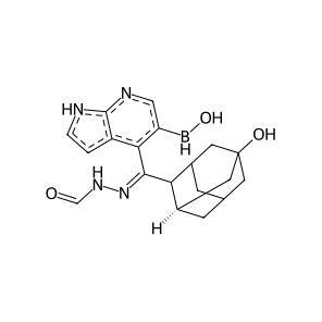 O=CN/N=C(\c1c(BO)cnc2[nH]ccc12)C1C2CC3C[C@@H]1CC(O)(C3)C2